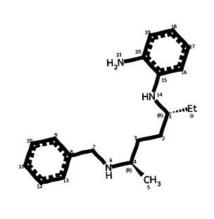 CC[C@H](CC[C@@H](C)NCc1ccccc1)Nc1ccccc1N